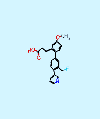 COc1ccc(-c2ccc(-c3cccnc3)c(CF)c2)c(CCC(=O)O)c1